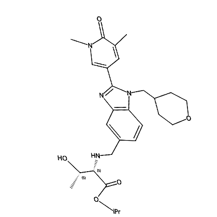 Cc1cc(-c2nc3cc(CN[C@H](C(=O)OC(C)C)[C@H](C)O)ccc3n2CC2CCOCC2)cn(C)c1=O